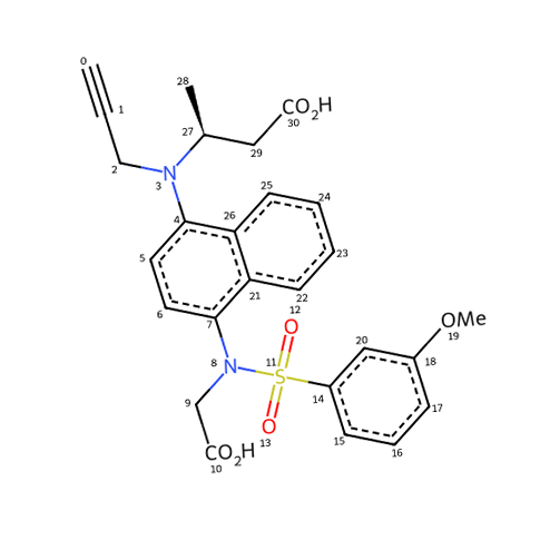 C#CCN(c1ccc(N(CC(=O)O)S(=O)(=O)c2cccc(OC)c2)c2ccccc12)[C@@H](C)CC(=O)O